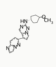 CO[C@H]1CC[C@H](Nc2ncc3c(-c4ccc5nccn5n4)ccn3n2)CC1